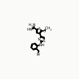 CSc1sc(C(=N)N)cc1-c1csc(Nc2ccccc2CBr)n1